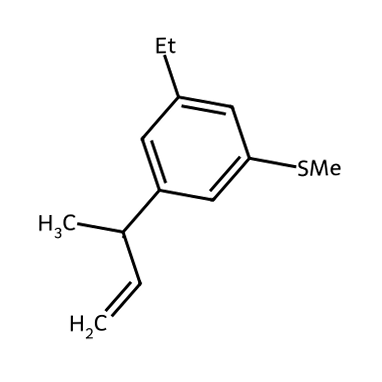 C=C[C](C)c1cc(CC)cc(SC)c1